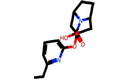 CCc1cccc(OC2CC3CCC(C2)N3C(=O)O)n1